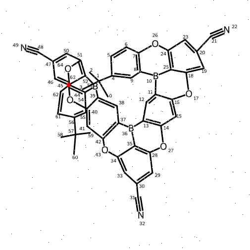 CC(C)(C)c1ccc2c(c1)B1c3cc4c(cc3Oc3cc(C#N)cc(c31)O2)Oc1cc(C#N)cc2c1B4c1cc3c(cc1O2)Oc1cc(C#N)cc2c1B3c1cc(C(C)(C)C)ccc1O2